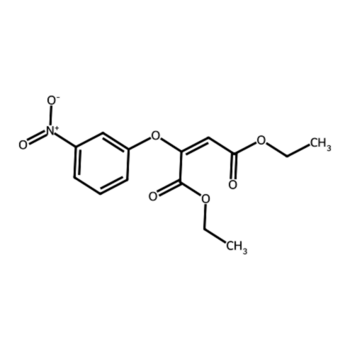 CCOC(=O)C=C(Oc1cccc([N+](=O)[O-])c1)C(=O)OCC